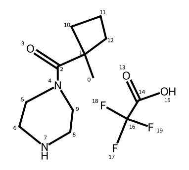 CC1(C(=O)N2CCNCC2)CCC1.O=C(O)C(F)(F)F